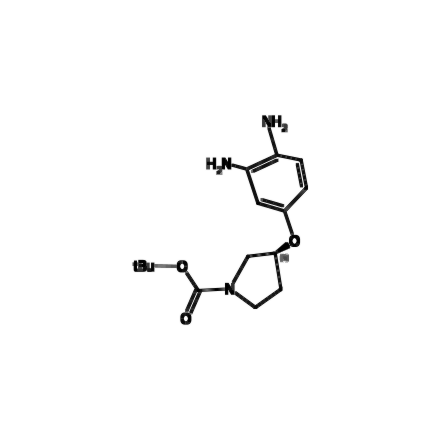 CC(C)(C)OC(=O)N1CC[C@H](Oc2ccc(N)c(N)c2)C1